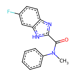 CN(C(=O)c1nc2ccc(F)cc2[nH]1)c1ccccc1